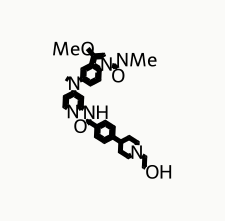 CNC(=O)n1cc(OC)c2cc(N(C)c3ccnc(NC(=O)c4ccc(C5CCN(CCO)CC5)cc4)c3)ccc21